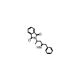 CC(CC(=N)Cc1ccccc1)N1C(=O)c2ccccc2C1=O